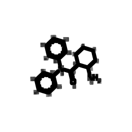 NC1CCCCC1C(=O)N(c1ccccc1)c1ccccc1